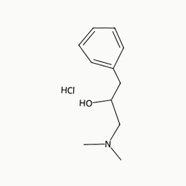 CN(C)CC(O)Cc1ccccc1.Cl